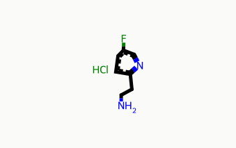 Cl.NCCc1ccc(F)cn1